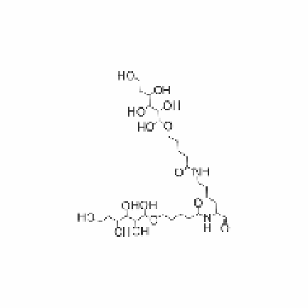 O=CC(CCCCNC(=O)CCCCOC(O)C(O)C(O)C(O)CCO)NC(=O)CCCCOC(O)C(O)C(O)C(O)CCO